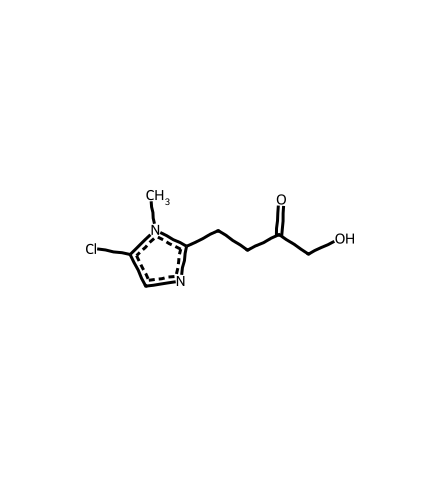 Cn1c(Cl)cnc1CCC(=O)CO